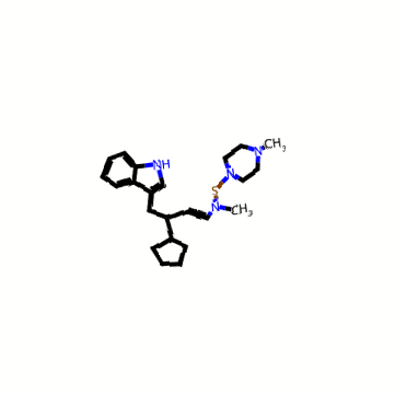 CN1CCN(SN(C)C=CC(Cc2c[nH]c3ccccc23)C2CCCC2)CC1